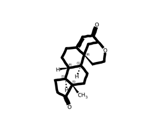 C[C@]12CC[C@H]3[C@@H](CCC4=CC(=O)C5C[C@@]43CCO5)[C@@H]1CCC2=O